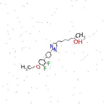 C=CCOc1ccc(-c2ccc(-c3ncc(C=CCCCC(C)O)cn3)cc2)c(F)c1F